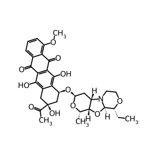 CC[C@H]1OCCN2[C@@H]1O[C@@H]1[C@H](C)O[C@@H](O[C@H]3C[C@](O)(C(C)=O)Cc4c(O)c5c(c(O)c43)C(=O)c3c(OC)cccc3C5=O)C[C@@H]12